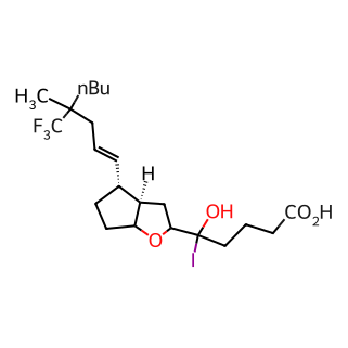 CCCCC(C)(C/C=C/[C@H]1CCC2OC(C(O)(I)CCCC(=O)O)C[C@@H]21)C(F)(F)F